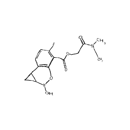 CN(C)C(=O)COC(=O)c1c(F)ccc2c1OB(O)C1CC21